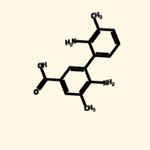 Cc1cccc(-c2cc(C(=O)O)cc(C)c2N)c1N